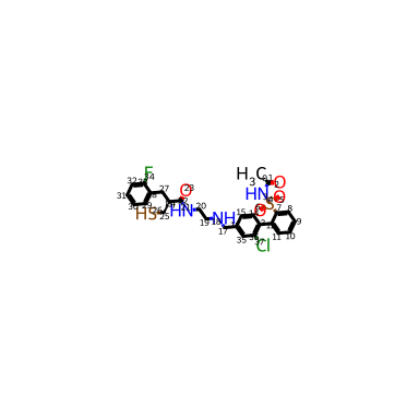 CC(=O)NS(=O)(=O)c1ccccc1-c1ccc(CNCCNC(=O)[C@@H](CS)Cc2ccccc2F)cc1Cl